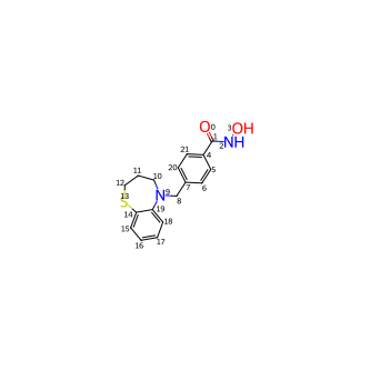 O=C(NO)c1ccc(CN2CCCSc3ccccc32)cc1